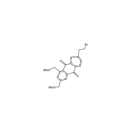 COCc1cc(COC)c2c(c1)C(=O)c1ccc(CCC(C)=O)cc1C2=O